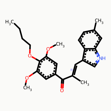 CCCCOc1c(OC)cc(C(=O)/C(C)=C/c2c[nH]c3cc(C)ccc23)cc1OC